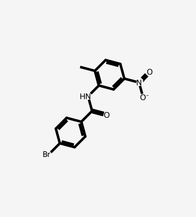 Cc1ccc([N+](=O)[O-])cc1NC(=O)c1ccc(Br)cc1